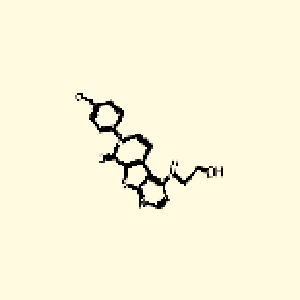 O=c1c2sc3nccc(NCCO)c3c2ccn1-c1ccc(Cl)cc1